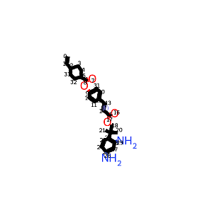 C=CC1CCC(C(=O)Oc2ccc(/C=C/C(=O)OCC(C)(C)c3ccc(N)cc3N)cc2)CC1